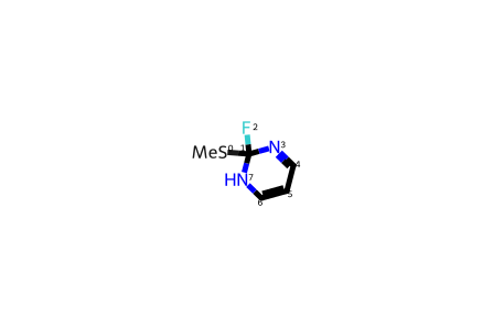 CSC1(F)N=CC=CN1